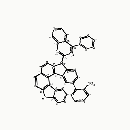 O=[N+]([O-])c1ccccc1-c1ccc2c(c1)c1c3c(ccc4sc5ccccc5c43)ccc1n2-c1nc(-c2ccccc2)c2ccccc2n1